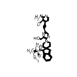 CC(C)(C)[S+]([O-])NC1c2ccccc2CC12CCN(c1ncc(/C=C/c3ccnc(N)c3Cl)nc1CO)CC2